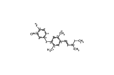 CCN(C)C=Nc1cc(C)c(Cc2ccc(F)c(Cl)c2)cc1C